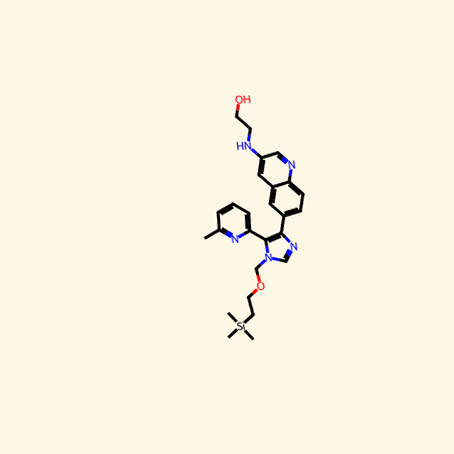 Cc1cccc(-c2c(-c3ccc4ncc(NCCO)cc4c3)ncn2COCC[Si](C)(C)C)n1